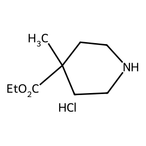 CCOC(=O)C1(C)CCNCC1.Cl